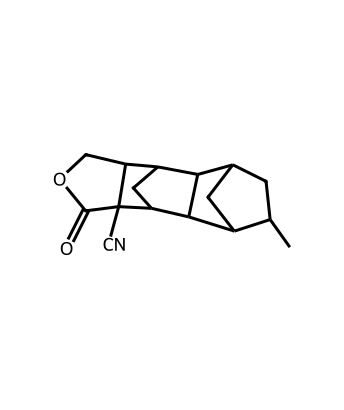 CC1CC2CC1C1C2C2CC1C1(C#N)C(=O)OCC21